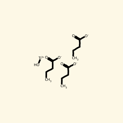 CCCC(=O)[O-].CCCC(=O)[O-].CCCC(=O)[O-].[OH][Ti+3]